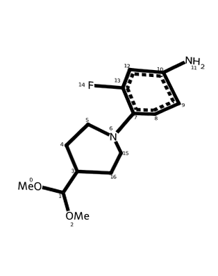 COC(OC)C1CCN(c2ccc(N)cc2F)CC1